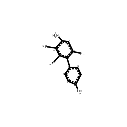 Nc1cc(F)c(-c2ccc(O)cc2)c(F)c1F